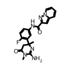 CN1C(=O)CC(C)(c2cc(NC(=O)c3cc4ccccn4n3)ccc2F)N=C1N